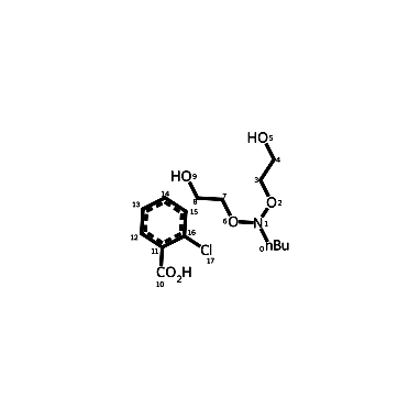 CCCCN(OCCO)OCCO.O=C(O)c1ccccc1Cl